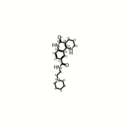 O=C(NCCN1CCCCC1)c1ccc2[nH]c(=O)c3c(c2c1)NCCC3